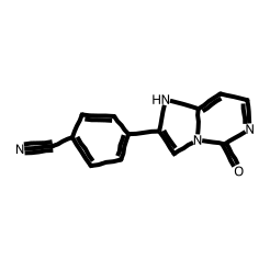 N#Cc1ccc(-c2cn3c(=O)nccc3[nH]2)cc1